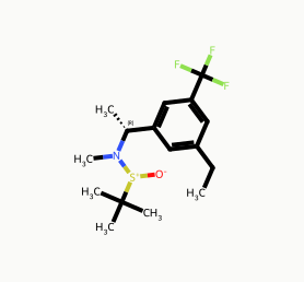 CCc1cc([C@@H](C)N(C)[S+]([O-])C(C)(C)C)cc(C(F)(F)F)c1